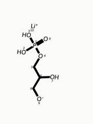 O=P(O)(O)OCC(O)C[O-].[Li+]